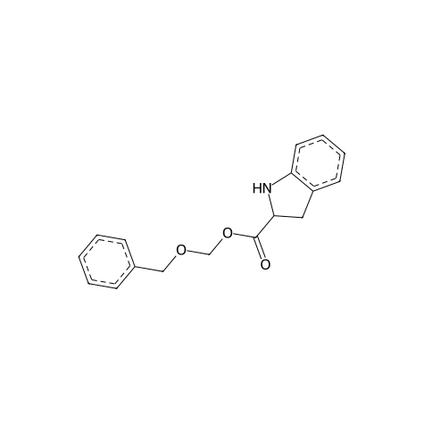 O=C(OCOCc1ccccc1)C1Cc2ccccc2N1